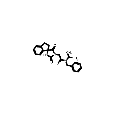 CC(C)N(Cc1ccccc1)C(=O)CN1C(=O)NC2(CCc3ccccc32)C1=O